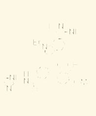 CCn1cc(Cc2ccc(C(=O)NCc3ncc[nH]3)cc2-c2ccc(OC)cc2C(=O)O)c2ccc(C(=N)N)cc21